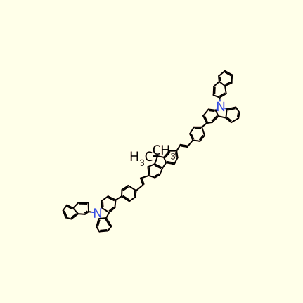 CC1(C)c2cc(/C=C/c3ccc(-c4ccc5c(c4)c4ccccc4n5-c4ccc5ccccc5c4)cc3)ccc2-c2ccc(/C=C/c3ccc(-c4ccc5c(c4)c4ccccc4n5-c4ccc5ccccc5c4)cc3)cc21